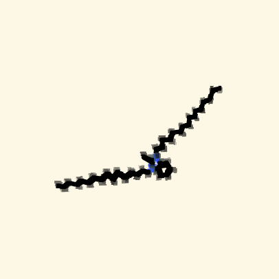 CCCCCCCCCCCCCCCCn1c(C)[n+](CCCCCCCCCCCCCCCC)c2ccccc21